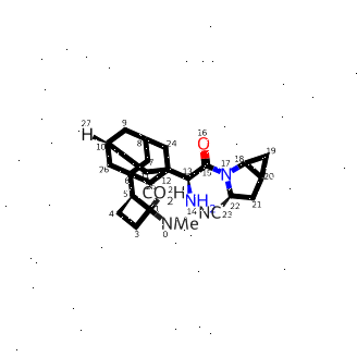 CNC1(C(=O)O)CC[C@H]1C12CC3C[C@H](CC([C@H](N)C(=O)N4C5CC5C[C@H]4C#N)(C3)C1)C2